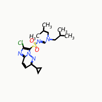 CC(C)CN(C=NS(=O)(=O)c1c(Cl)nc2ccc(C3CC3)nn12)CC(C)C